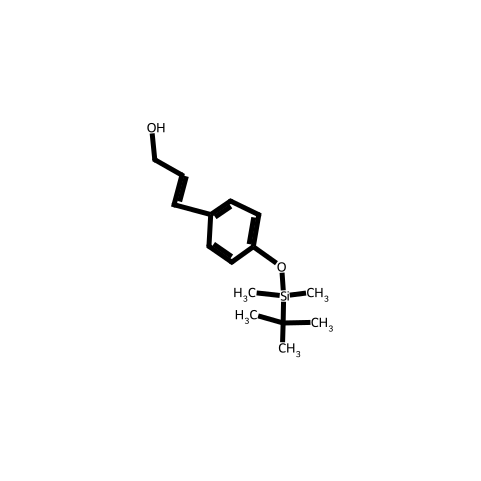 CC(C)(C)[Si](C)(C)Oc1ccc(C=CCO)cc1